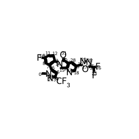 Cn1nc(C(F)(F)F)cc1-c1cc(F)ccc1N1Cc2ncc(-c3nnc(C(F)F)o3)cc2C1=O